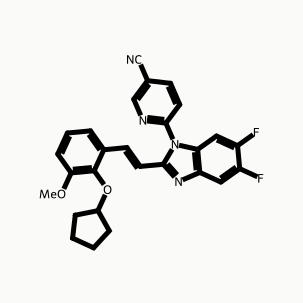 COc1cccc(C=Cc2nc3cc(F)c(F)cc3n2-c2ccc(C#N)cn2)c1OC1CCCC1